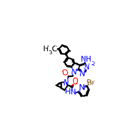 Cc1cccc(-c2ccc3c(c2)c2c(N)ncnc2n3CC(=O)N2C(C(=O)Nc3cccc(Br)n3)CC3CC32)c1